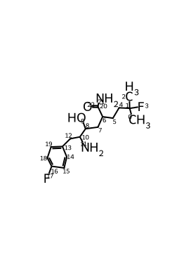 CC(C)(F)CCC(CC(O)C(N)Cc1ccc(F)cc1)C(N)=O